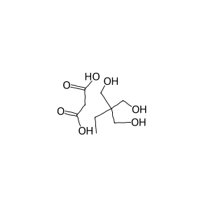 CCC(CO)(CO)CO.O=C(O)CC(=O)O